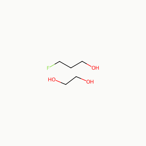 OCCCF.OCCO